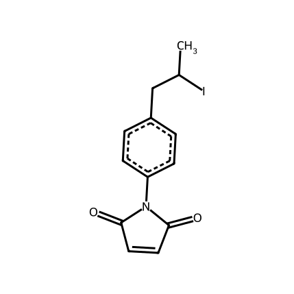 CC(I)Cc1ccc(N2C(=O)C=CC2=O)cc1